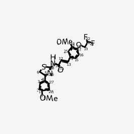 COc1ccc(C2CSC(NC(=O)/C=C/c3ccc(OCC(F)F)c(OC)c3)=N2)cc1